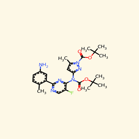 Cc1ccc(N)cc1-c1ncc(F)c(N(C(=O)OC(C)(C)C)c2cc(C)n(C(=O)OC(C)(C)C)n2)n1